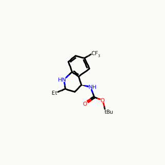 CCC1C[C@H](NC(=O)OC(C)(C)C)c2cc(C(F)(F)F)ccc2N1